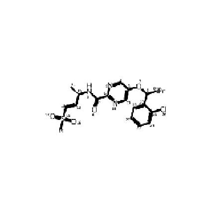 CC(C)C(Oc1cnc(C(=O)N[C@H](C)/C=C/S(C)(=O)=O)nc1)c1ccccc1Cl